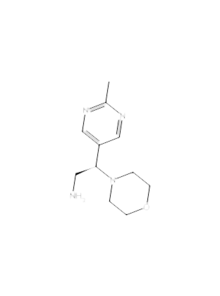 Cc1ncc([C@H](CN)N2CCOCC2)cn1